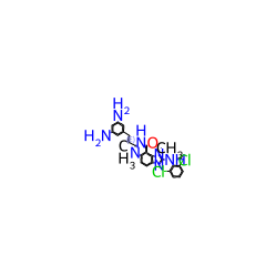 C/C(=C\c1cc(N)cc(N)c1)c1nc2ccc3nc(Nc4c(Cl)cccc4Cl)n(C)c3c2c(=O)[nH]1